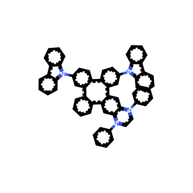 c1ccc(-n2ccn(-c3ccccc3)c3cc4c5cc(-n6c7ccccc7c7ccccc76)ccc5c5ccc(-n6c7ccccc7c7ccccc76)cc5c5ccccc5c4cc32)cc1